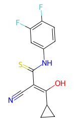 N#CC(C(=S)Nc1ccc(F)c(F)c1)=C(O)C1CC1